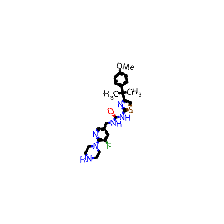 COc1ccc(C(C)(C)c2csc(NC(=O)NCc3cnc(N4CCNCC4)c(F)c3)n2)cc1